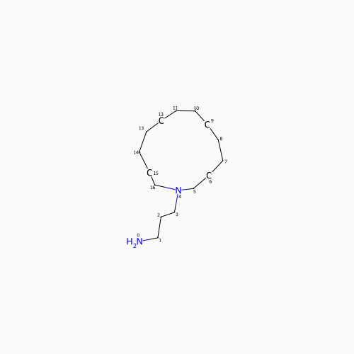 NCCCN1CCCCCCCCCCCC1